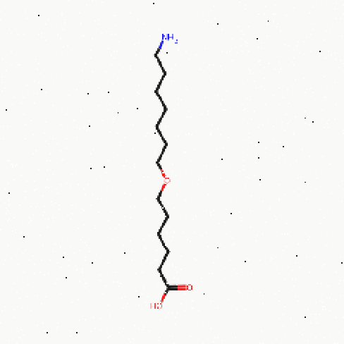 NCCCCCCCOCCCCCC(=O)O